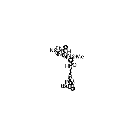 CCC1c2c(C#N)ncn2-c2cnc(Nc3ccc(C(=O)NCCCCOCC(=O)NC(C(=O)N4CCCC4C)C(C)(C)C)cc3OC)nc2N1C1CCCC1